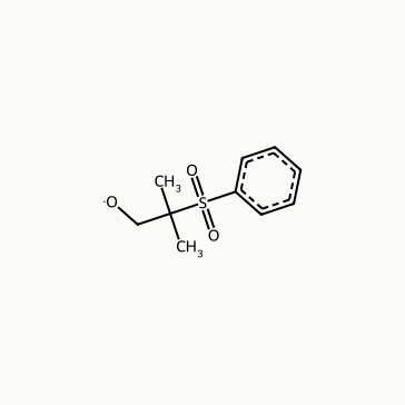 CC(C)(C[O])S(=O)(=O)c1ccccc1